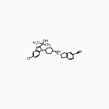 CC(C)(O)c1nc2cc(Cl)ccc2n1C1CCC(NC[C@H]2Cc3ccc(C#N)cc3C2)CC1